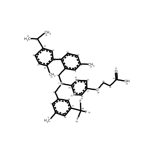 Cc1cc(CN(Cc2cc(C)ccc2-c2cc(C(C)C)ccc2C)c2ncc(OCCC(=O)O)cn2)cc(C(F)(F)F)c1